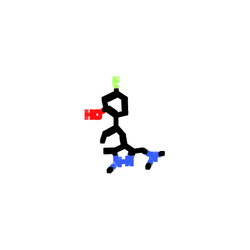 C=c1/c(=C\C(=C/C)c2ccc(F)cc2O)c(CN(C)C)nn1C